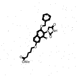 COC(=O)CCCCOc1ccc2cc(OCc3ccccc3)c(N3CC(=O)NC3=O)c(F)c2c1